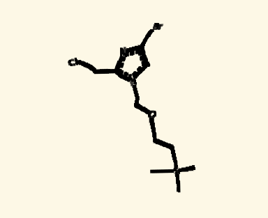 C[Si](C)(C)CCOCn1cc(Br)nc1CCl